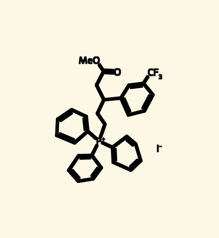 COC(=O)CC(CC[P+](c1ccccc1)(c1ccccc1)c1ccccc1)c1cccc(C(F)(F)F)c1.[I-]